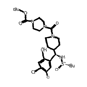 CC(C)(C)OC(=O)N1CCN(C(=O)N2CCC([C@@H](N[S@@+]([O-])C(C)(C)C)c3cc(Cl)c(Cl)cc3O)CC2)CC1